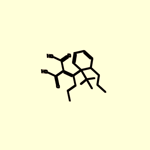 CCCC(=C(C(=O)O)C(=O)O)C1(C(C)(C)C)C=CC=CC1CCC